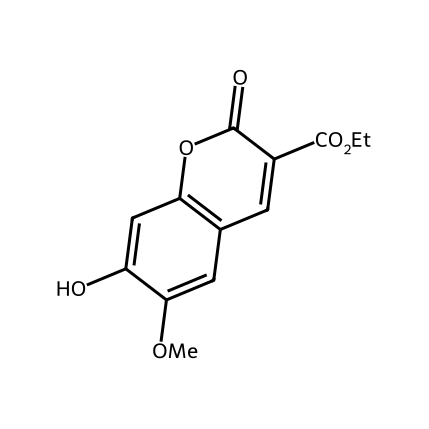 CCOC(=O)c1cc2cc(OC)c(O)cc2oc1=O